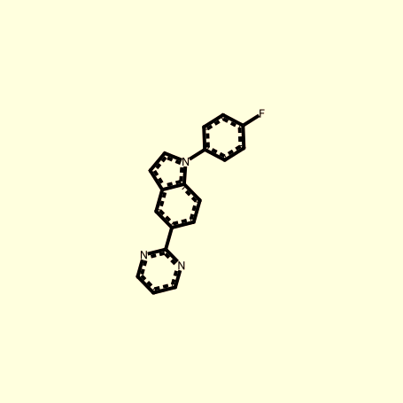 Fc1ccc(-n2ccc3cc(-c4ncccn4)ccc32)cc1